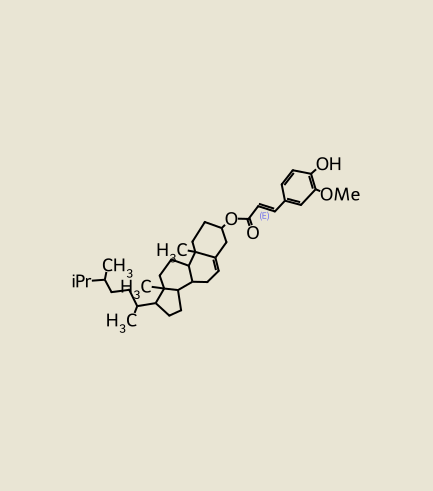 COc1cc(/C=C/C(=O)OC2CCC3(C)C(=CCC4C3CCC3(C)C(C(C)CCC(C)C(C)C)CCC43)C2)ccc1O